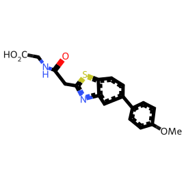 COc1ccc(-c2ccc3sc(CC(=O)NCC(=O)O)nc3c2)cc1